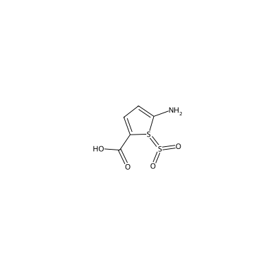 NC1=CC=C(C(=O)O)S1=S(=O)=O